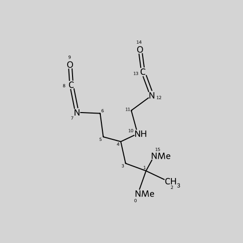 CNC(C)(CC(CCN=C=O)NCN=C=O)NC